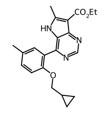 CCOC(=O)c1c(C)[nH]c2c(-c3cc(C)ccc3OCC3CC3)ncnc12